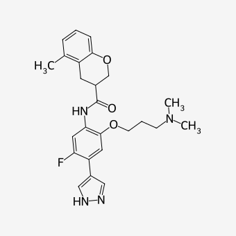 Cc1cccc2c1CC(C(=O)Nc1cc(F)c(-c3cn[nH]c3)cc1OCCCN(C)C)CO2